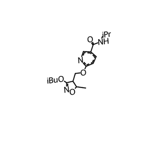 CC(C)COC1=NOC(C)C1COc1ccc(C(=O)NC(C)C)cn1